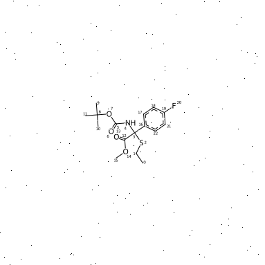 CCSC(NC(=O)OC(C)(C)C)(C(=O)OC)c1ccc(F)cc1